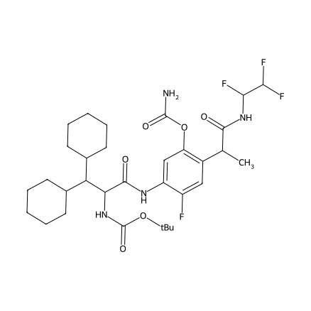 CC(C(=O)NC(F)C(F)F)c1cc(F)c(NC(=O)C(NC(=O)OC(C)(C)C)C(C2CCCCC2)C2CCCCC2)cc1OC(N)=O